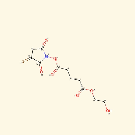 O=C(CCCC(=O)ON1C(=O)CC(=S)C1=O)OCCO